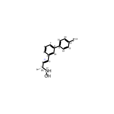 C[C@H](/C=C/c1cccc(-c2ccc(F)cc2)c1)NO